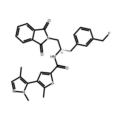 Cc1cnn(C)c1-c1cc(C(=O)N[C@@H](Cc2cccc(CF)c2)CN2C(=O)c3ccccc3C2=O)sc1C